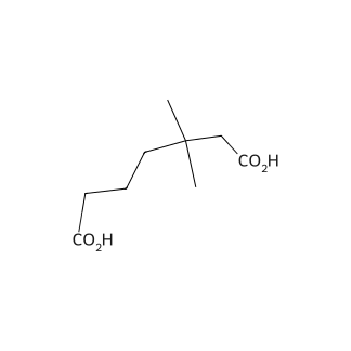 CC(C)(CCCC(=O)O)CC(=O)O